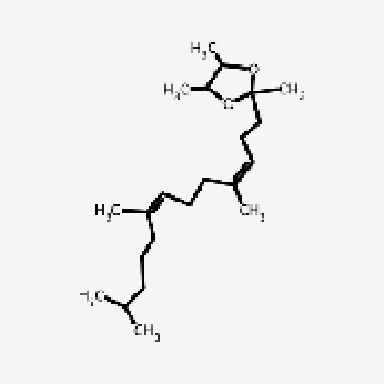 CC(=CCCC1(C)OC(C)C(C)O1)CCC=C(C)CCCC(C)C